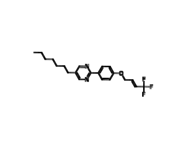 CCCCCCCc1cnc(-c2ccc(OCC=CC(F)(F)F)cc2)nc1